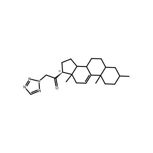 CC1CCC2(C)C3=CCC4(C)C(CC[C@@H]4C(=O)Cn4ncnn4)C3CCC2C1